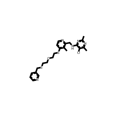 Cc1nc(C)c(Cl)c(NCc2nccc(SCCOCCSCc3cccnc3)c2C)n1